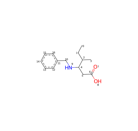 CCC(C)C(CC(=O)O)NCc1ccccc1